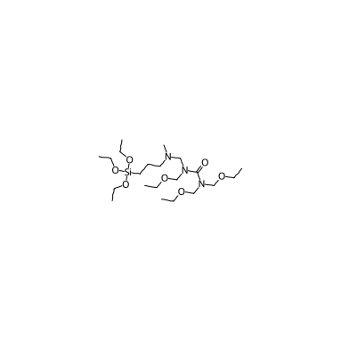 CCOCN(COCC)C(=O)N(COCC)CN(C)CCC[Si](OCC)(OCC)OCC